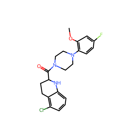 COc1cc(F)ccc1N1CCN(C(=O)C2CCc3c(Cl)cccc3N2)CC1